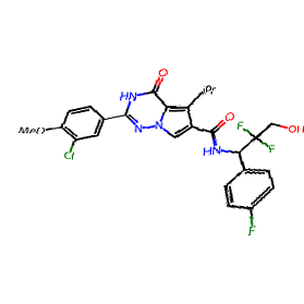 COc1ccc(-c2nn3cc(C(=O)NC(c4ccc(F)cc4)C(F)(F)CO)c(C(C)C)c3c(=O)[nH]2)cc1Cl